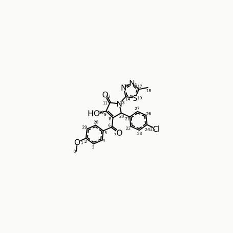 COc1ccc(C(=O)C2=C(O)C(=O)N(c3nnc(C)s3)C2c2ccc(Cl)cc2)cc1